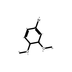 COC1C=CC(Br)=CC1OC